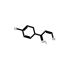 C=C(/C=C\CC)C1C=CC(Cl)=CC1